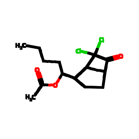 CCCCC(OC(C)=O)C1CCC2C(=O)C(Cl)(Cl)C21